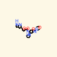 O=C(Nc1cc2oc(N3CCOCC3)nc2cc1N1CCCCC1)c1ccc(-c2cnc3[nH]ccc3c2)o1